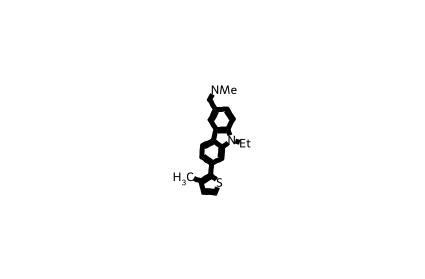 CCn1c2ccc(CNC)cc2c2ccc(-c3sccc3C)cc21